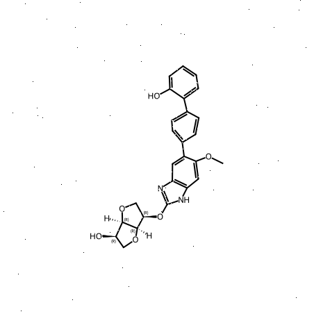 COc1cc2[nH]c(O[C@@H]3CO[C@H]4[C@@H]3OC[C@H]4O)nc2cc1-c1ccc(-c2ccccc2O)cc1